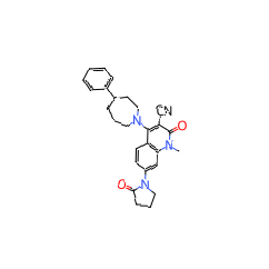 Cn1c(=O)c(C#N)c(N2CCCC(c3ccccc3)CC2)c2ccc(N3CCCC3=O)cc21